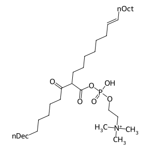 CCCCCCCCC=CCCCCCCC(C(=O)CCCCCCCCCCCCCCC)C(=O)OP(=O)(O)OCC[N+](C)(C)C